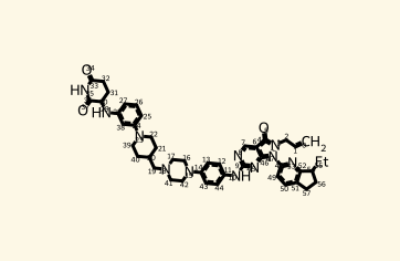 C=CCn1c(=O)c2cnc(Nc3ccc(N4CCN(CC5CCN(c6cccc(NC7CCC(=O)NC7=O)c6)CC5)CC4)cc3)nc2n1-c1ccc2c(n1)C(CC)CC2